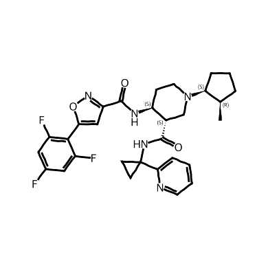 C[C@@H]1CCC[C@@H]1N1CC[C@H](NC(=O)c2cc(-c3c(F)cc(F)cc3F)on2)[C@@H](C(=O)NC2(c3ccccn3)CC2)C1